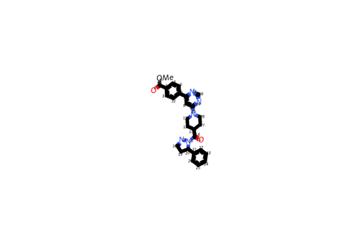 COC(=O)c1ccc(-c2cc(N3CCC(C(=O)N4N=CCC4c4ccccc4)CC3)ncn2)cc1